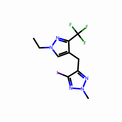 CCn1cc(Cc2nn(C)nc2I)c(C(F)(F)F)n1